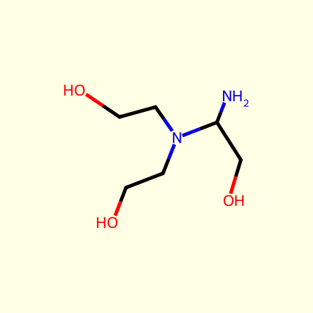 NC(CO)N(CCO)CCO